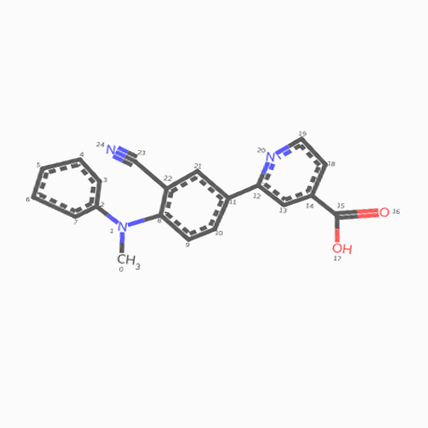 CN(c1ccccc1)c1ccc(-c2cc(C(=O)O)ccn2)cc1C#N